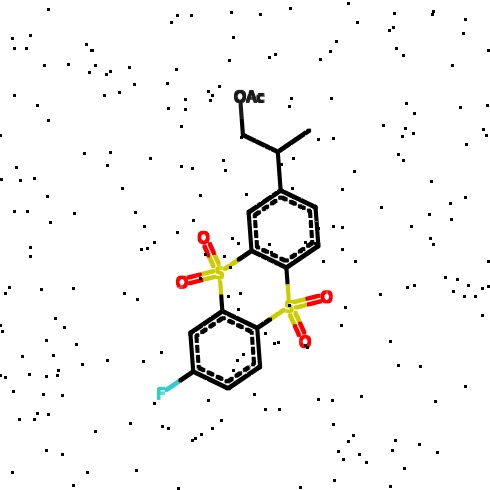 CC(=O)OCC(C)c1ccc2c(c1)S(=O)(=O)c1cc(F)ccc1S2(=O)=O